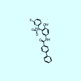 O=C(Nc1ccc(O)c(N(c2cccc(F)c2)[SH](=O)=O)c1)c1ccc(-c2ccccc2)cc1